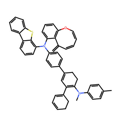 C=C1/C=C\C=C/Oc2cccc(N(c3ccc(C4=CC(C5=CC=CCC5)=C(N(C)c5ccc(C)cc5)CC4)cc3)c3cccc4c3sc3ccccc34)c21